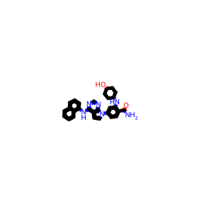 NC(=O)c1ccc(-n2ccc3c(Nc4cccc5ccccc45)ncnc32)cc1NC1CCC(O)CC1